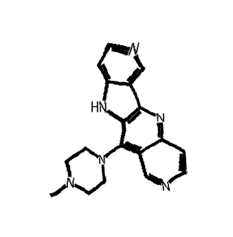 CN1CCN(c2c3cnccc3nc3c2[nH]c2ccncc23)CC1